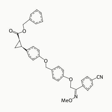 CO/N=C(\COc1ccc(COc2ccc([C@H]3C[C@H]3C(=O)OCc3ccccc3)cc2)cc1)c1ccc(C#N)cc1